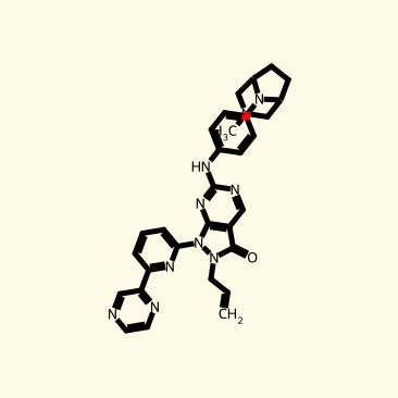 C=CCn1c(=O)c2cnc(Nc3ccc(N4C5CCC4CN(C)C5)cc3)nc2n1-c1cccc(-c2cnccn2)n1